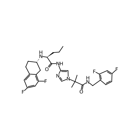 CCC[C@H](N[C@H]1CCc2cc(F)cc(F)c2C1)C(=O)Nc1cn(C(C)(C)C(=O)NCc2ccc(F)cc2F)cn1